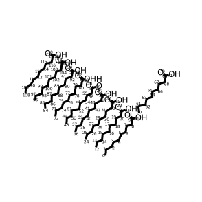 CCCCCCCCCC(=O)O.CCCCCCCCCC(=O)O.CCCCCCCCCC(=O)O.CCCCCCCCCC(=O)O.CCCCCCCCCC(=O)O.CCCCCCCCCC(=O)O.CCCCCCCCCC(=O)O.CCCCCCCCCC(=O)O.CCCCCCCCCC(=O)O.CCCCCCCCCC(=O)O